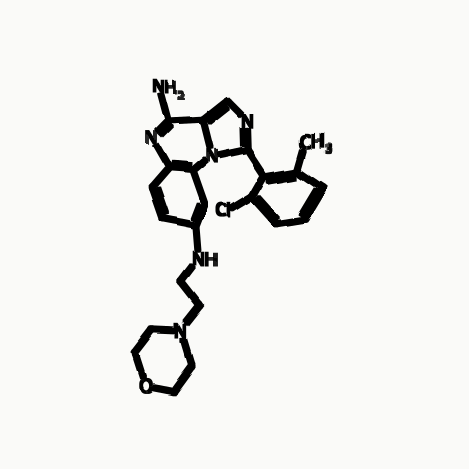 Cc1cccc(Cl)c1-c1ncc2c(N)nc3ccc(NCCN4CCOCC4)cc3n12